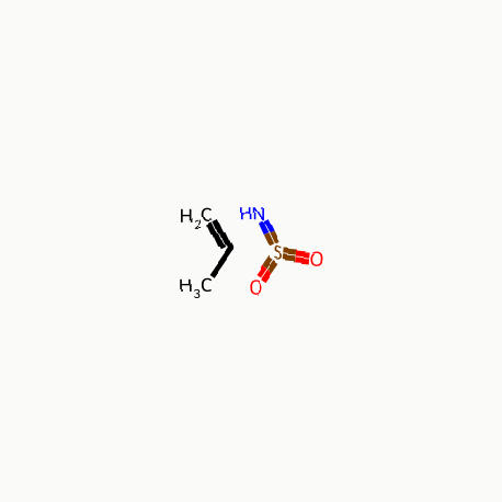 C=CC.N=S(=O)=O